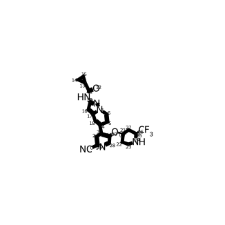 N#Cc1cc(-c2ccn3nc(NC(=O)C4CC4)cc3c2)c(O[C@@H]2CCN[C@H](C(F)(F)F)C2)cn1